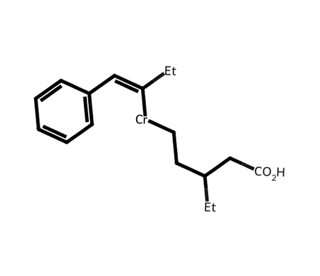 CC[C](=Cc1ccccc1)[Cr][CH2]CC(CC)CC(=O)O